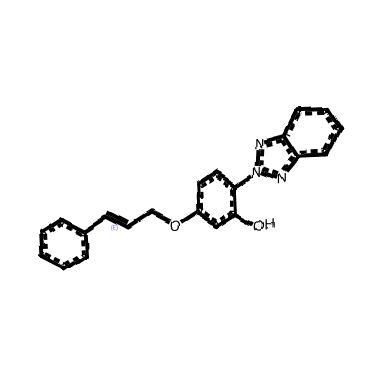 Oc1cc(OC/C=C/c2ccccc2)ccc1-n1nc2ccccc2n1